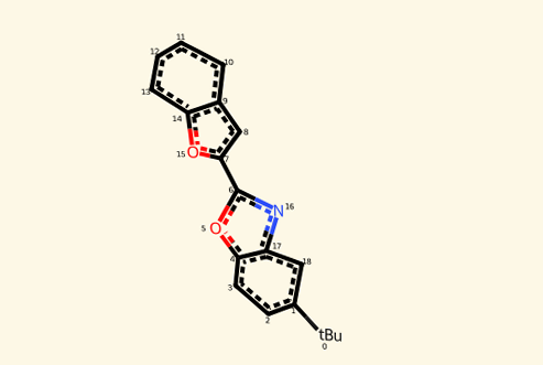 CC(C)(C)c1ccc2oc(-c3cc4ccccc4o3)nc2c1